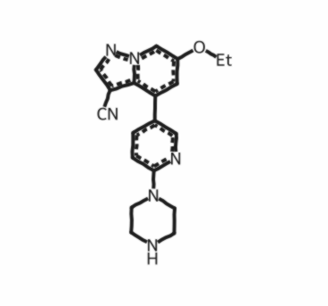 CCOc1cc(-c2ccc(N3CCNCC3)nc2)c2c(C#N)cnn2c1